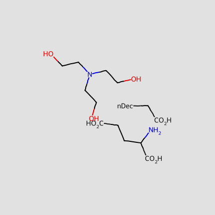 CCCCCCCCCCCC(=O)O.NC(CCC(=O)O)C(=O)O.OCCN(CCO)CCO